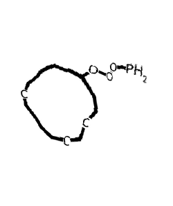 POOOC1CCCCCCCCCCCCC1